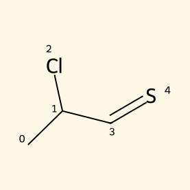 CC(Cl)C=S